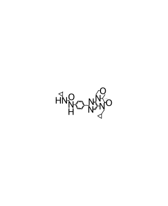 C[C@@]12COCCN1c1nc(-c3ccc(NC(=O)NC4CC4)cc3)ncc1N(CC1CC1)C2=O